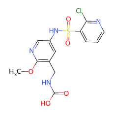 COc1ncc(NS(=O)(=O)c2cccnc2Cl)cc1CNC(=O)O